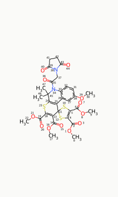 COC(=O)C1=C(C(=O)OC)SC2(S1)C(C(=O)OC)=C(C(=O)OC)SC1=C2c2cc(OC)ccc2N(C(=O)CN2C(=O)CCC2=O)C1(C)C